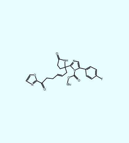 CC(C)(C)OC(=O)n1c(-c2ccc(F)cc2)cnc1C1(C/C=C/CCC(=O)c2ncco2)CCC(=O)N1